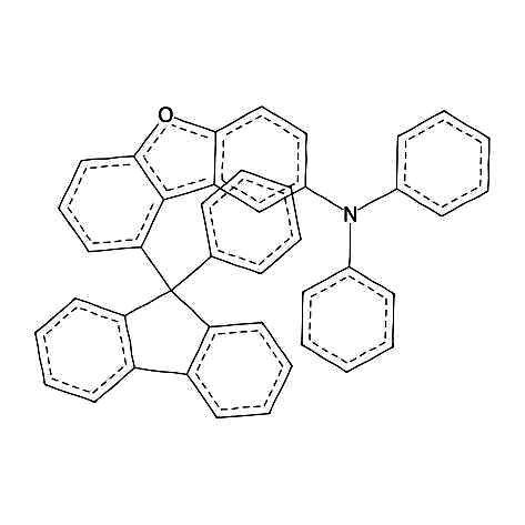 c1ccc(N(c2ccccc2)c2ccc3oc4cccc(C5(c6ccccc6)c6ccccc6-c6ccccc65)c4c3c2)cc1